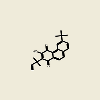 C=CC(C)(C)C1=C(O)C(=O)c2c(ccc3ccc(C(C)(C)C)cc23)C1=O